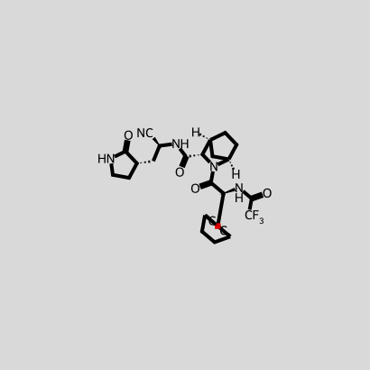 N#C[C@H](C[C@@H]1CCNC1=O)NC(=O)[C@@H]1[C@H]2CC[C@H](C2)N1C(=O)[C@@H](NC(=O)C(F)(F)F)C1CC2CCC1CC2